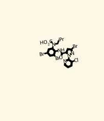 CC(C)CN(C(=O)O)c1cc(Br)cc(Br)c1NC(=O)c1cc(Br)nn1-c1ncccc1Cl